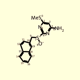 CSc1cc(N)nc([S+]([O-])Cc2ccc3ccccc3c2)n1